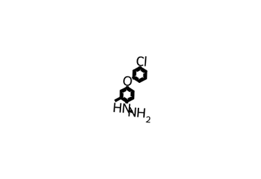 Cc1cc(Oc2cccc(Cl)c2)ccc1NN